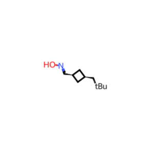 CC(C)(C)C[C@H]1C[C@@H](/C=N/O)C1